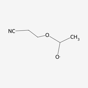 CC([O])OCCC#N